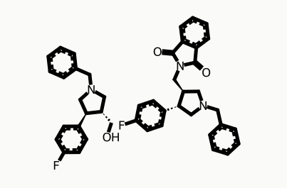 O=C1c2ccccc2C(=O)N1C[C@H]1CN(Cc2ccccc2)C[C@@H]1c1ccc(F)cc1.OC[C@H]1CN(Cc2ccccc2)C[C@@H]1c1ccc(F)cc1